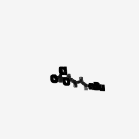 CCCCCCC=COC(=O)Cl